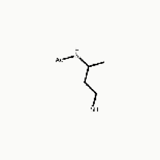 CC(=O)NC(C)CCS